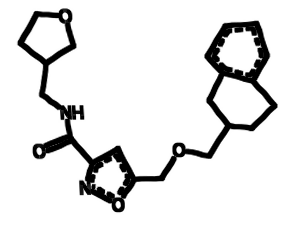 O=C(NCC1CCOC1)c1cc(COCC2CCc3ccccc3C2)on1